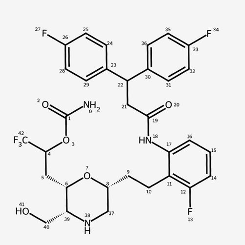 NC(=O)OC(C[C@@H]1O[C@H](CCc2c(F)cccc2NC(=O)CC(c2ccc(F)cc2)c2ccc(F)cc2)CN[C@@H]1CO)C(F)(F)F